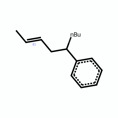 C/C=C/CC(CCCC)c1ccccc1